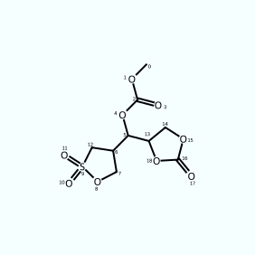 COC(=O)OC(C1COS(=O)(=O)C1)C1COC(=O)O1